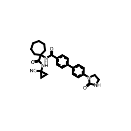 N#CC1(NC(=O)C2(NC(=O)c3ccc(-c4ccc(N5CCNC5=O)cc4)cc3)CCCCCC2)CC1